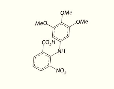 COc1cc(Nc2c(C(=O)O)cccc2[N+](=O)[O-])cc(OC)c1OC